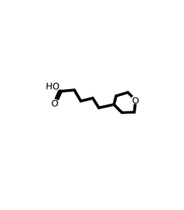 O=C(O)CCCCC1CCOCC1